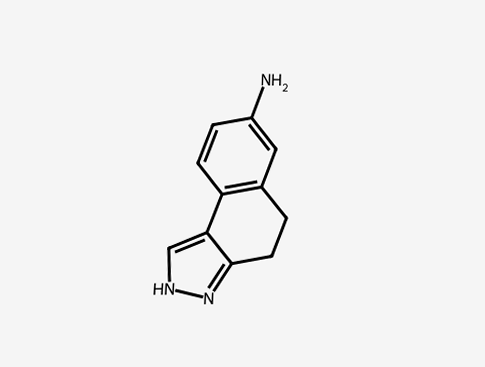 Nc1ccc2c(c1)CCc1n[nH]cc1-2